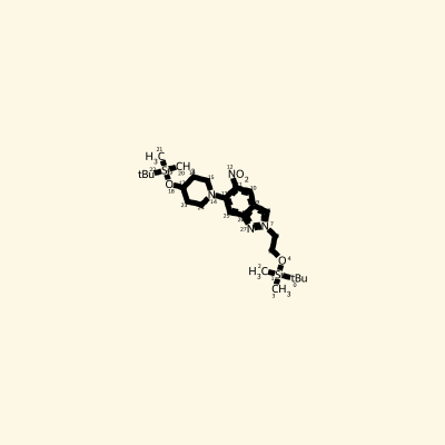 CC(C)(C)[Si](C)(C)OCCn1cc2cc([N+](=O)[O-])c(N3CCC(O[Si](C)(C)C(C)(C)C)CC3)cc2n1